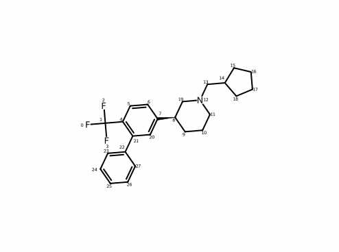 FC(F)(F)c1ccc([C@@H]2CCCN(CC3CCCC3)C2)cc1-c1ccccc1